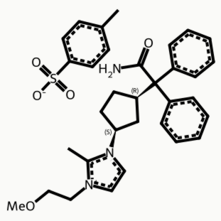 COCC[n+]1ccn([C@H]2CC[C@@H](C(C(N)=O)(c3ccccc3)c3ccccc3)C2)c1C.Cc1ccc(S(=O)(=O)[O-])cc1